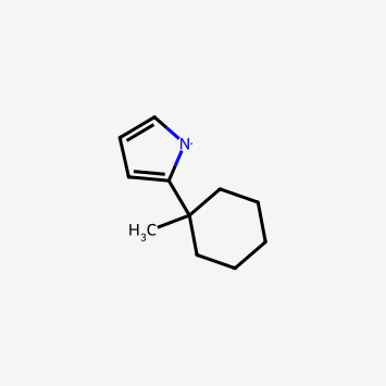 CC1(C2=CC=C[N]2)CCCCC1